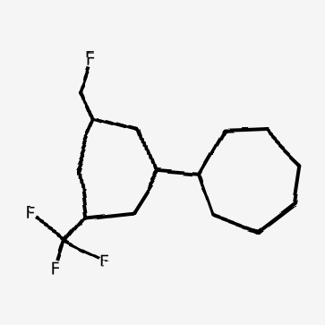 FCC1CC(C2CCCCCC2)CC(C(F)(F)F)C1